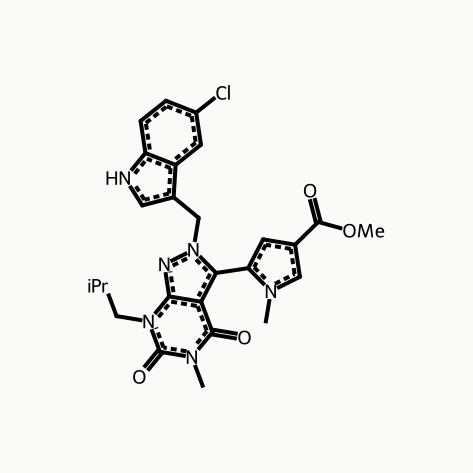 COC(=O)c1cc(-c2c3c(=O)n(C)c(=O)n(CC(C)C)c3nn2Cc2c[nH]c3ccc(Cl)cc23)n(C)c1